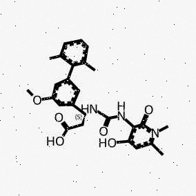 COc1cc(-c2c(C)cccc2C)cc([C@H](CC(=O)O)NC(=O)Nc2c(O)cc(C)n(C)c2=O)c1